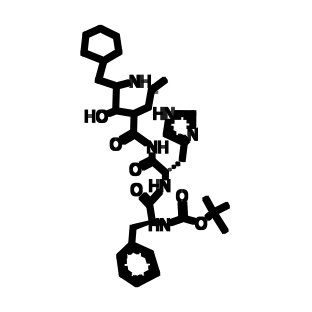 CCCC(C(=O)NC(=O)[C@H](Cc1c[nH]cn1)NC(=O)[C@H](Cc1ccccc1)NC(=O)OC(C)(C)C)C(O)C(N)CC1CCCCC1